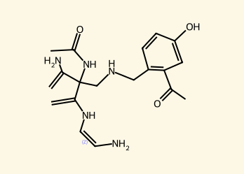 C=C(N)C(CNCc1ccc(O)cc1C(C)=O)(NC(C)=O)C(=C)N/C=C\N